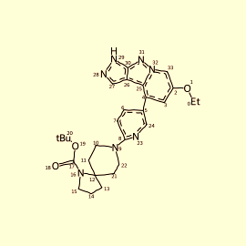 CCOc1cc(-c2ccc(N3CCC4(CCCN4C(=O)OC(C)(C)C)CC3)nc2)c2c3cn[nH]c3nn2c1